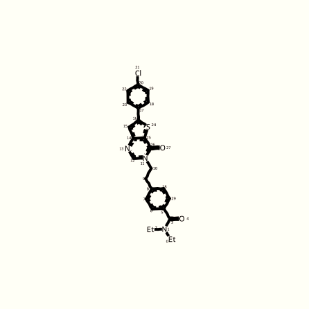 CCN(CC)C(=O)c1ccc(CCn2cnc3cc(-c4ccc(Cl)cc4)sc3c2=O)cc1